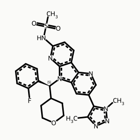 Cc1nnn(C)c1-c1cnc2c3ccc(NS(C)(=O)=O)nc3n([C@H](c3ccccc3F)C3CCOCC3)c2c1